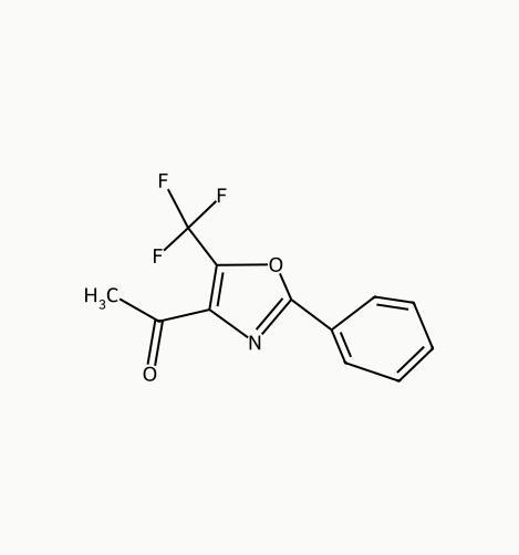 CC(=O)c1nc(-c2ccccc2)oc1C(F)(F)F